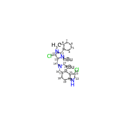 CCCCn1c(-c2ccccc2C)nc(Cl)c1CN(Cc1ccc2[nH]cc(Cl)c2c1)CC(C)(C)C